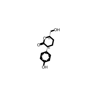 O=C1O[C@H](CO)CC[C@@H]1c1ccc(O)cc1